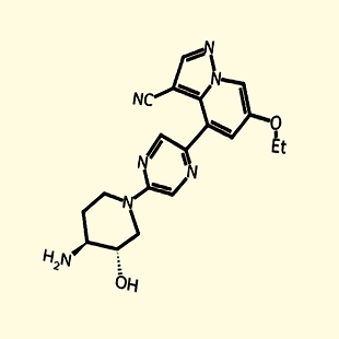 CCOc1cc(-c2cnc(N3CC[C@H](N)[C@@H](O)C3)cn2)c2c(C#N)cnn2c1